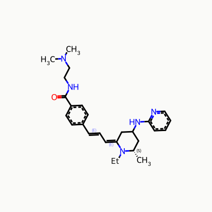 CCN1/C(=C/C=C/c2ccc(C(=O)NCCN(C)C)cc2)CC(Nc2ccccn2)C[C@@H]1C